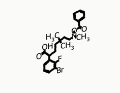 CN(CCC(C)(C)CCC(C(=O)O)c1cccc(Br)c1F)OC(=O)c1ccccc1